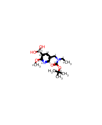 CCN(Cc1cnc(OC)c(B(O)O)c1)C(=O)OC(C)(C)C